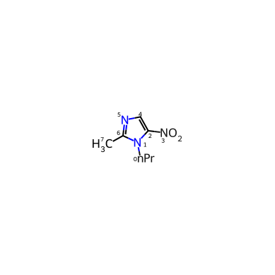 CCCn1c([N+](=O)[O-])cnc1C